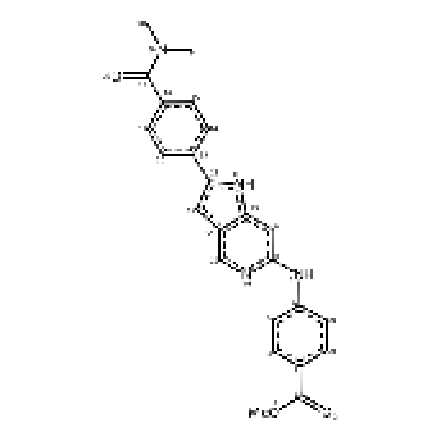 COC(=O)c1ccc(Nc2cc3[nH]c(-c4ccc(C(=O)N(C)C)cc4)cc3cn2)cc1